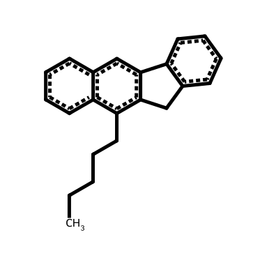 CCCCCc1c2c(cc3ccccc13)-c1ccccc1C2